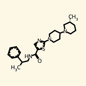 CC(CNC(=O)c1cnc(N2CCC(N3CCC[C@@H](C)C3)CC2)s1)c1ccccc1